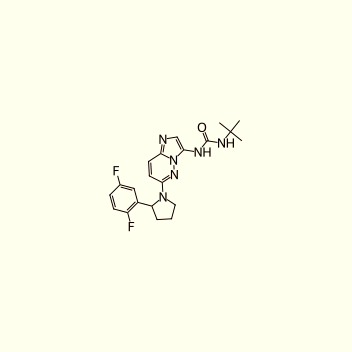 CC(C)(C)NC(=O)Nc1cnc2ccc(N3CCCC3c3cc(F)ccc3F)nn12